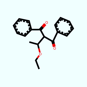 CCOC(C)C(C(=O)c1ccccc1)C(=O)c1ccccc1